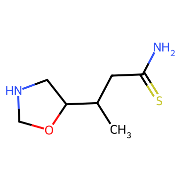 CC(CC(N)=S)C1CNCO1